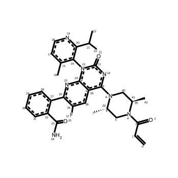 C=CC(=O)N1C[C@H](C)N(c2nc(=O)n(-c3c(C)ccnc3C(C)C)c3nc(-c4ccccc4C(N)=O)c(F)cc23)C[C@H]1C